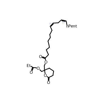 CCCCC/C=C\C/C=C\CCCCCCCC(=O)OCC1(COC(=O)CC)CCCC(=O)O1